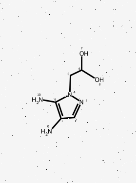 Nc1cnn(CC(O)O)c1N